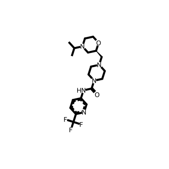 CC(C)N1CCO[C@@H](CN2CCN(C(=O)Nc3ccc(C(F)(F)F)nc3)CC2)C1